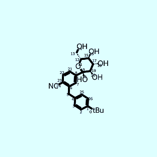 CC(C)(C)c1ccc(Cc2cc([C@]3(O)O[C@H](CO)[C@@H](O)[C@H](O)[C@H]3O)ccc2C#N)cc1